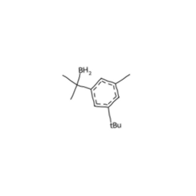 BC(C)(C)c1cc(C)cc(C(C)(C)C)c1